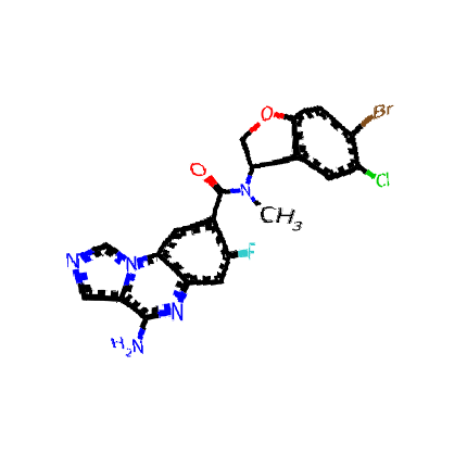 CN(C(=O)c1cc2c(cc1F)nc(N)c1cncn12)C1COc2cc(Br)c(Cl)cc21